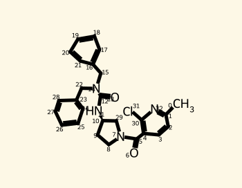 Cc1ccc(C(=O)N2CC[C@@H](NC(=O)N(Cc3ccccc3)Cc3ccccc3)C2)c(Cl)n1